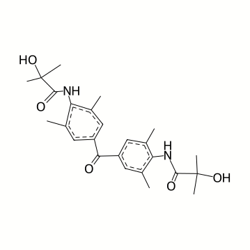 Cc1cc(C(=O)c2cc(C)c(NC(=O)C(C)(C)O)c(C)c2)cc(C)c1NC(=O)C(C)(C)O